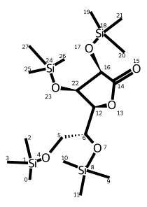 C[Si](C)(C)OC[C@@H](O[Si](C)(C)C)[C@@H]1OC(=O)[C@H](O[Si](C)(C)C)[C@@H]1O[Si](C)(C)C